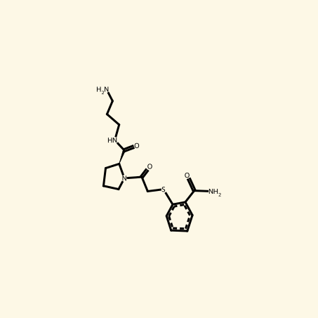 NCCCNC(=O)[C@@H]1CCCN1C(=O)CSc1ccccc1C(N)=O